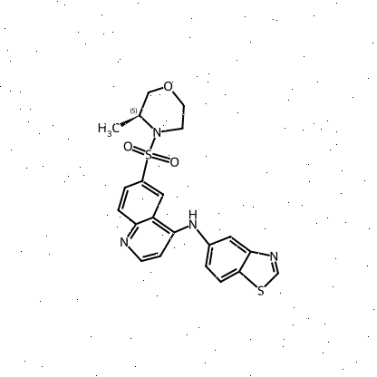 C[C@H]1COCCN1S(=O)(=O)c1ccc2nccc(Nc3ccc4scnc4c3)c2c1